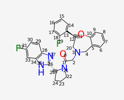 O=C(CN1Cc2ccccc2O[C@H](c2ccccc2F)C1)N1CCC[C@@H]1c1nc2ccc(F)cc2[nH]1